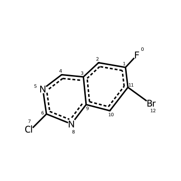 Fc1cc2cnc(Cl)nc2cc1Br